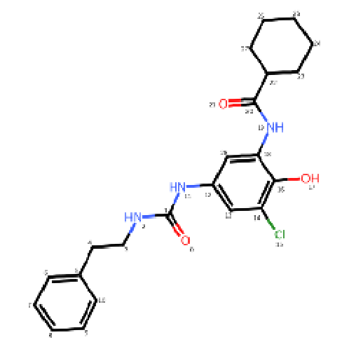 O=C(NCCc1ccccc1)Nc1cc(Cl)c(O)c(NC(=O)C2CCCCC2)c1